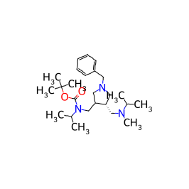 CC(C)N(C)C[C@H]1CN(Cc2ccccc2)CC1CN(C(=O)OC(C)(C)C)C(C)C